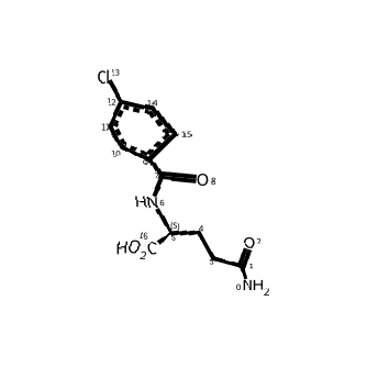 NC(=O)CC[C@H](NC(=O)c1ccc(Cl)cc1)C(=O)O